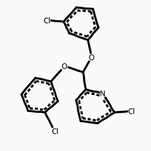 Clc1cccc(OC(Oc2cccc(Cl)c2)c2cccc(Cl)n2)c1